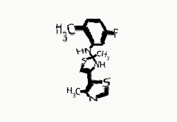 Cc1ccc(F)cc1NC1(C)NC(c2scnc2C)=CS1